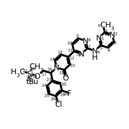 Cc1nccc(Nc2nccc(-c3ccn(C(CO[Si](C)(C)C(C)(C)C)c4ccc(Cl)c(F)c4)c(=O)c3)n2)n1